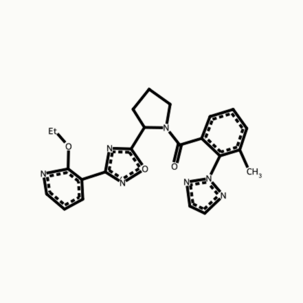 CCOc1ncccc1-c1noc(C2CCCN2C(=O)c2cccc(C)c2-n2nccn2)n1